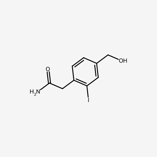 NC(=O)Cc1ccc(CO)cc1I